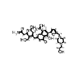 CN(C)c1cc(-c2ccc(CN3CCN(CCO)CC3)o2)c(O)c2c1CC(CC(CCO)C(CO)C(=O)CC(N)=O)CC2=O